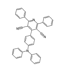 N#Cc1c(-c2ccccc2)nc(-c2ccccc2)c(C#N)c1-c1ccc(N(c2ccccc2)c2ccccc2)cc1